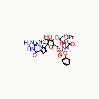 CC(C)OC(=O)[C@H](C)NP(=O)(OC[C@H]1O[C@@](C#N)(c2ccc3c(=O)[nH]c(N)nn23)[C@](C)(O)[C@@H]1OC(=O)C(C)C)Oc1ccccc1